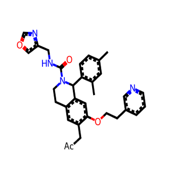 CC(=O)Cc1cc2c(cc1OCCc1cccnc1)C(c1ccc(C)cc1C)N(C(=O)NCc1cocn1)CC2